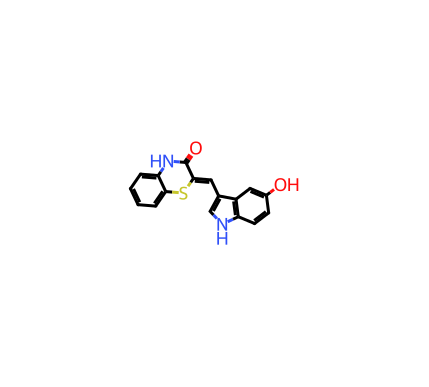 O=C1Nc2ccccc2S/C1=C\c1c[nH]c2ccc(O)cc12